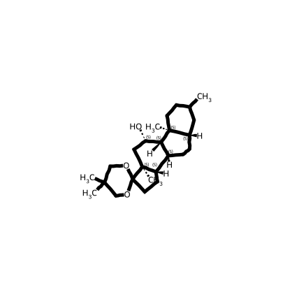 CC1CC[C@@]2(C)[C@@H](CC[C@@H]3[C@@H]2[C@@H](O)C[C@@]2(C)[C@H]3CCC23OCC(C)(C)CO3)C1